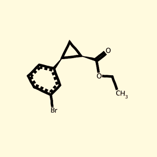 CCOC(=O)[C@@H]1C[C@@H]1c1cccc(Br)c1